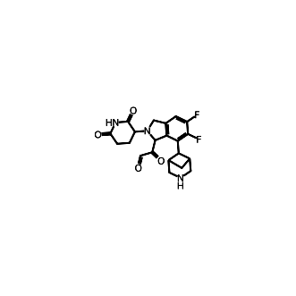 O=CC(=O)C1c2c(cc(F)c(F)c2C2C3CNCC2C3)CN1C1CCC(=O)NC1=O